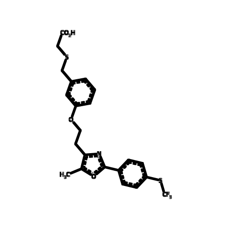 Cc1oc(-c2ccc(SC(F)(F)F)cc2)nc1CCOc1cccc(CSCC(=O)O)c1